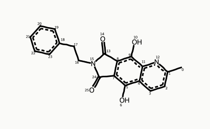 Cc1ccc2c(O)c3c(c(O)c2n1)C(=O)N(CCc1ccccc1)C3=O